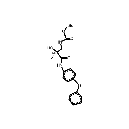 CC(C)(C)OC(=O)NC[C@](C)(O)C(=O)Nc1ccc(Oc2ccccc2)cc1